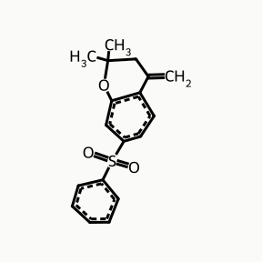 C=C1CC(C)(C)Oc2cc(S(=O)(=O)c3ccccc3)ccc21